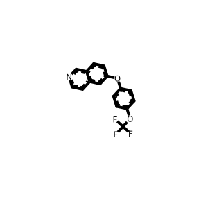 FC(F)(F)Oc1ccc(Oc2ccc3cnccc3c2)cc1